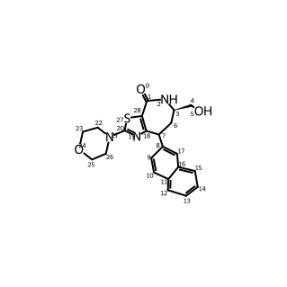 O=C1N[C@@H](CO)CC(c2ccc3ccccc3c2)c2nc(N3CCOCC3)sc21